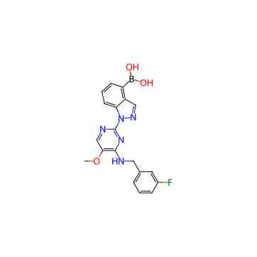 COc1cnc(-n2ncc3c(B(O)O)cccc32)nc1NCc1cccc(F)c1